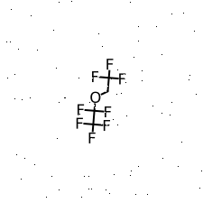 FC(F)(F)COC(F)(F)C(F)(F)F